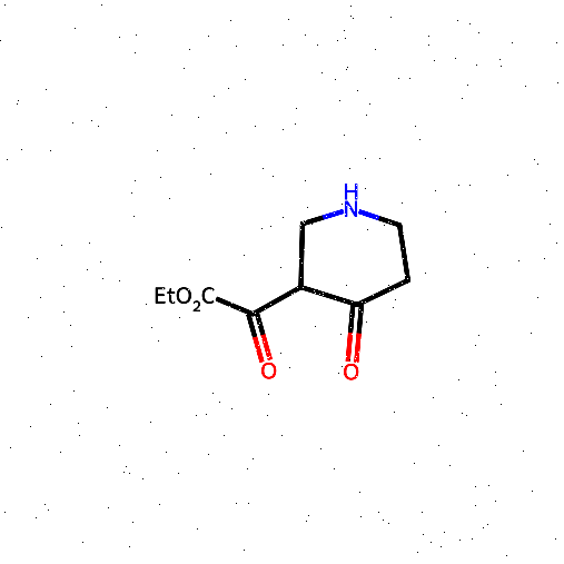 CCOC(=O)C(=O)C1CNCCC1=O